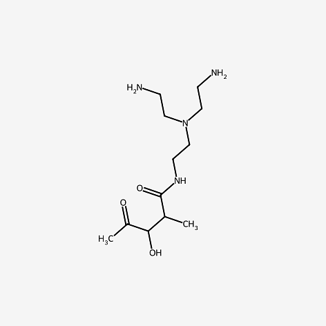 CC(=O)C(O)C(C)C(=O)NCCN(CCN)CCN